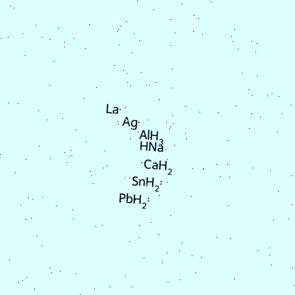 [Ag].[AlH3].[CaH2].[La].[NaH].[PbH2].[SnH2]